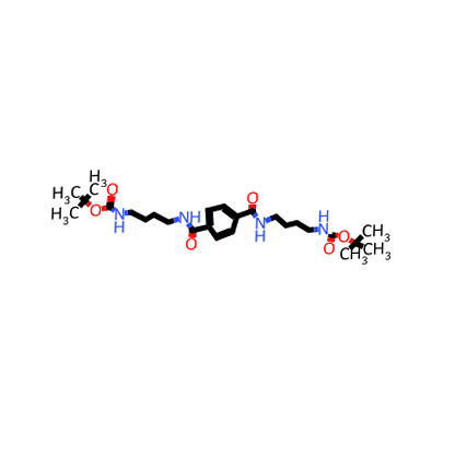 CC(C)(C)OC(=O)NCCCCNC(=O)c1ccc(C(=O)NCCCCNC(=O)OC(C)(C)C)cc1